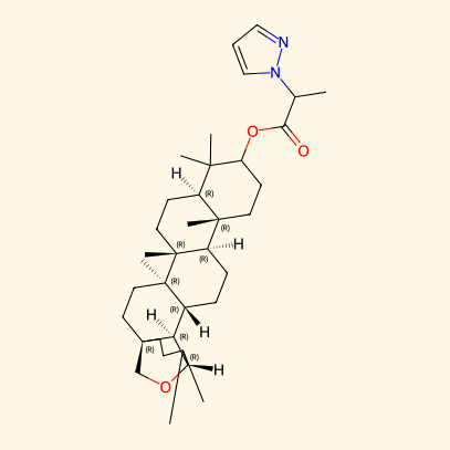 CC(C(=O)OC1CC[C@]2(C)[C@H]3CC[C@@H]4[C@H]5[C@H]6OC[C@@]5(CCC6(C)C)CC[C@@]4(C)[C@]3(C)CC[C@H]2C1(C)C)n1cccn1